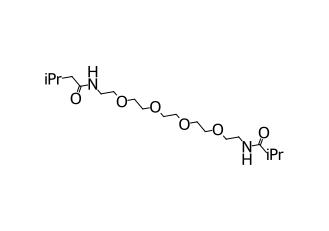 CC(C)CC(=O)NCCOCCOCCOCCOCCNC(=O)C(C)C